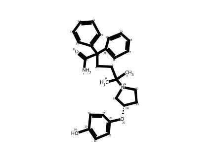 CC(C)(CCC(C(N)=O)(c1ccccc1)c1ccccc1)N1CC[C@H](Oc2ccc(O)cc2)C1